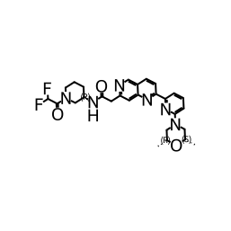 C[C@@H]1CN(c2cccc(-c3ccc4cnc(CC(=O)N[C@@H]5CCCN(C(=O)C(F)F)C5)cc4n3)n2)C[C@H](C)O1